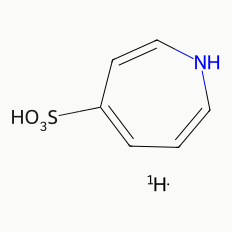 O=S(=O)(O)C1=CC=CNC=C1.[1H]